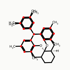 Cc1cc(C)cc(P(c2cc(C)cc(C)c2)c2cccc3c2O[C@]24Oc5c(cccc5P(c5cc(C)cc(C)c5)c5cc(C)cc(C)c5)C[C@H]2CCCC4C3)c1